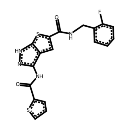 O=C(Nc1n[nH]c2sc(C(=O)NCc3ccccc3F)cc12)c1cccs1